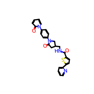 O=C(NCC1CC(=O)N(c2ccc(-n3ccccc3=O)cc2)C1)c1ccc(-c2ccccn2)s1